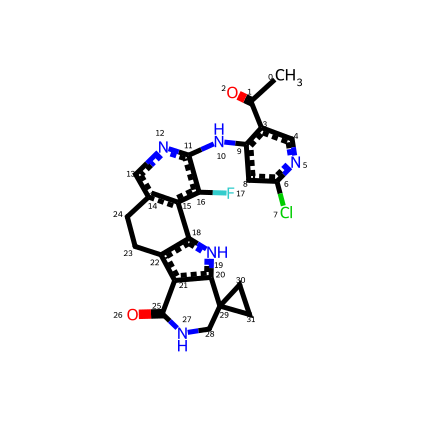 CC(=O)c1cnc(Cl)cc1Nc1ncc2c(c1F)-c1[nH]c3c(c1CC2)C(=O)NCC31CC1